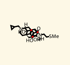 CSCCNC(=O)C1=C(O)C[C@]23CCN(CC4CC4)[C@H](Cc4ccc(O)c(O)c42)[C@]3(O)C1